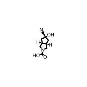 N#C[C@@]1(O)C[C@H]2CN(C(=O)O)C[C@H]2C1